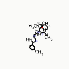 C=N/C(=C/C(=N\N/C=C\C=C/C(=N)c1cccc(C)c1)c1cc(C)nn1C)N1CCCCC1